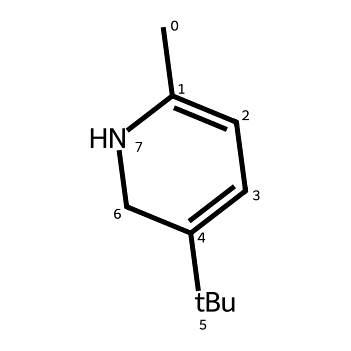 CC1=CC=C(C(C)(C)C)CN1